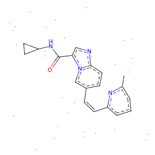 Cc1cccc(/C=C\c2ccc3ncc(C(=O)NC4CC4)n3c2)n1